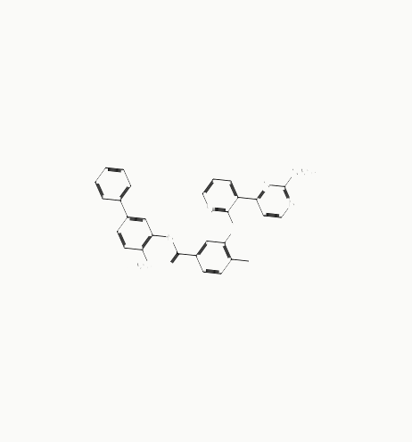 CNc1nccc(-c2cccnc2Oc2cc(C(=O)Nc3cc(-c4ccccc4)ccc3OC)ccc2C)n1